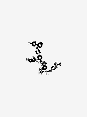 CC(C)C(O)N=S1(=O)CCN(CC[C@H](C)Nc2ccc(S(=O)(=O)NC(=O)c3ccc(N4CCN(CC5=C(c6ccc(Cl)cc6)CC(C)(C)CC5)CC4)cc3Oc3cnc4[nH]ccc4c3)cc2S(=O)(=O)C(F)(F)F)CC1